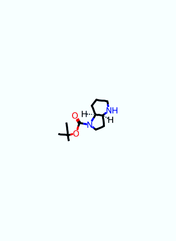 CC(C)(C)OC(=O)N1CC[C@@H]2NCCC[C@@H]21